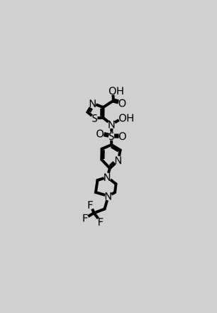 O=C(O)c1ncsc1N(O)S(=O)(=O)c1ccc(N2CCN(CC(F)(F)F)CC2)nc1